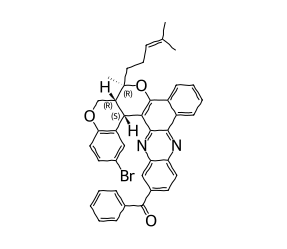 CC(C)=CCC[C@@]1(C)Oc2c(c3nc4cc(C(=O)c5ccccc5)ccc4nc3c3ccccc23)[C@@H]2c3cc(Br)ccc3OC[C@@H]21